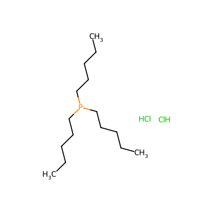 CCCCCP(CCCCC)CCCCC.Cl.Cl